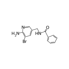 Nc1ncc(CNC(=O)c2ccccc2)cc1Br